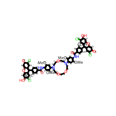 COc1cc(N2CCOCCOCCN(c3cc(OC)c(NC(=O)c4ccc(-c5c6cc(Cl)c(=O)cc-6oc6cc(O)c(Cl)cc56)c(C(=O)O)c4)cc3OC)CCOCC2)c(OC)cc1NC(=O)c1ccc(-c2c3cc(Cl)c(=O)cc-3oc3cc(O)c(Cl)cc23)c(C(=O)O)c1